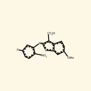 CCOC(=O)c1c(Nc2cc(F)ccc2[N+](=O)[O-])sc2cc(OC)ccc12